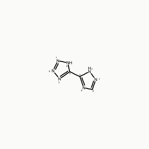 [c]1n[nH]c(-c2nnn[nH]2)n1